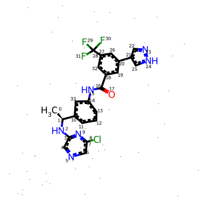 C[C@H](Nc1cncc(Cl)n1)c1cccc(NC(=O)c2cc(-c3cn[nH]c3)cc(C(F)(F)F)c2)c1